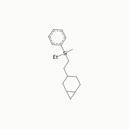 CC[Si](C)(CCC1CCC2CC2C1)c1ccccc1